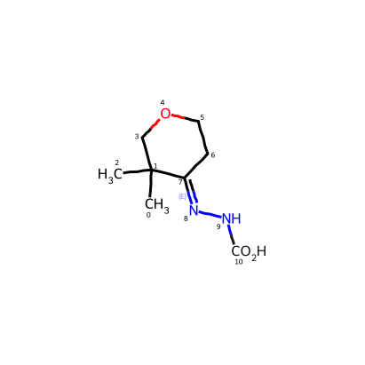 CC1(C)COCC/C1=N\NC(=O)O